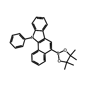 CC1(C)OB(c2cc3c4ccccc4n(-c4ccccc4)c3c3ccccc23)OC1(C)C